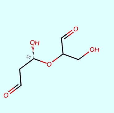 O=CC[C@H](O)OC(C=O)CO